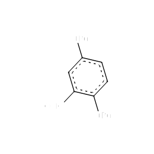 CC(C)(C)c1ccc(C(C)(C)C)c([C]=O)c1